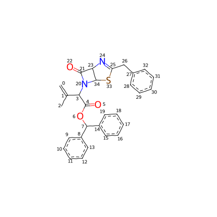 C=C(C)C(C(=O)OC(c1ccccc1)c1ccccc1)N1C(=O)C2N=C(Cc3ccccc3)SC21